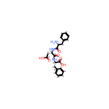 N[C@@H](Cc1ccccc1)C(=O)N[C@@H](CC(=O)O)C(=O)N[C@@H](Cc1ccccc1)C(=O)O